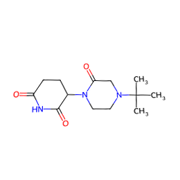 CC(C)(C)N1CCN(C2CCC(=O)NC2=O)C(=O)C1